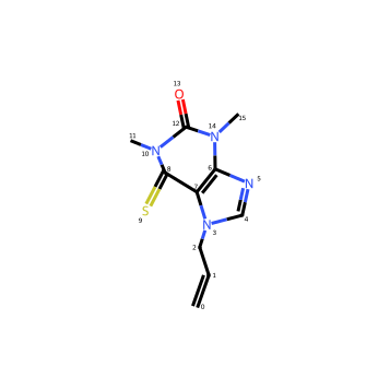 C=CCn1cnc2c1c(=S)n(C)c(=O)n2C